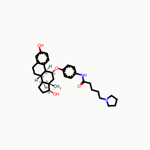 C[C@]12C[C@H](Oc3ccc(NC(=O)CCCCN4CCCC4)cc3)[C@@H]3c4ccc(O)cc4CC[C@H]3[C@@H]1CC[C@@H]2O